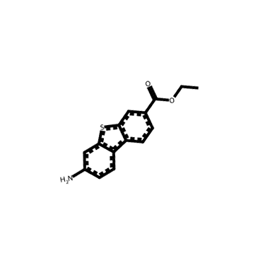 CCOC(=O)c1ccc2c(c1)sc1cc(N)ccc12